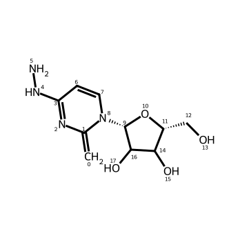 C=C1N=C(NN)C=CN1[C@@H]1O[C@H](CO)C(O)C1O